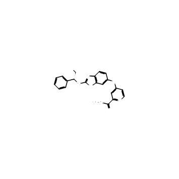 CNC(=O)c1cc(Oc2ccc3nc(N[C@H](CO)c4ccccc4)sc3c2)ccn1